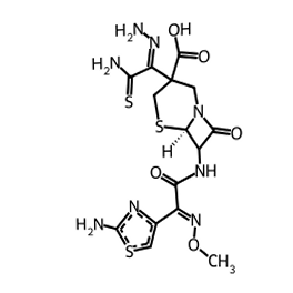 CON=C(C(=O)NC1C(=O)N2CC(C(=O)O)(C(=NN)C(N)=S)CS[C@H]12)c1csc(N)n1